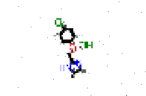 Cl.Clc1ccc(OCC2=NCCN2)cc1